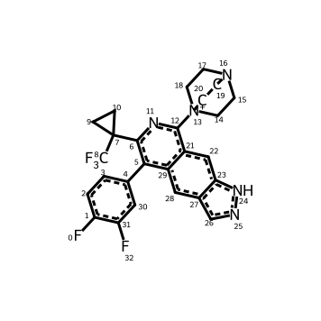 Fc1ccc(-c2c(C3(C(F)(F)F)CC3)nc([N+]34CCN(CC3)CC4)c3cc4[nH]ncc4cc23)cc1F